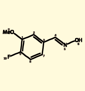 COc1cc(C=NO)ccc1F